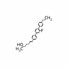 C=CCc1ccc(-c2ccc(-c3ccc(/C=C/CCCC(C)O)cc3)cc2F)cc1